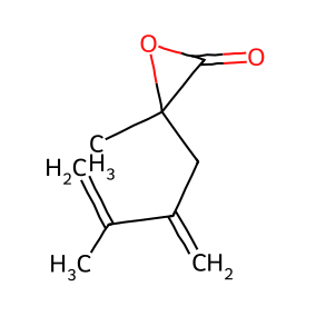 C=C(C)C(=C)CC1(C)OC1=O